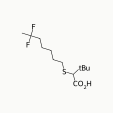 CC(F)(F)CCCCCSC(C(=O)O)C(C)(C)C